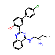 CC[C@H](N)CNc1nc(-c2cc(-c3ccc(Cl)cc3)ccc2O)nc2ccccc12